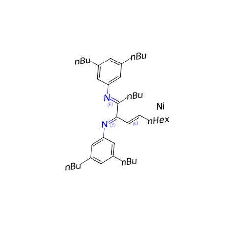 CCCCCC/C=C/C(=N\c1cc(CCCC)cc(CCCC)c1)C(/CCCC)=N/c1cc(CCCC)cc(CCCC)c1.[Ni]